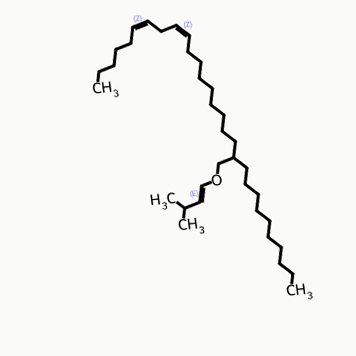 CCCCC/C=C\C/C=C\CCCCCCCCC(CCCCCCCCCC)CO/C=C/C(C)C